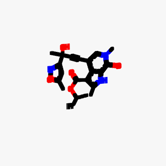 Cc1cc(C(C)(O)C#Cc2cn(C)c(=O)c3[nH]c(C)c(C(=O)OC(C)C(C)C)c23)no1